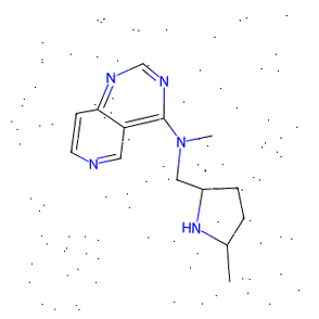 CC1CCC(CN(C)c2ncnc3ccncc23)N1